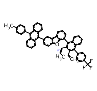 C=Cc1c(/C=C\C)c(-c2cccc3c2oc2ccc(-c4c5ccccc5c(-c5ccc(C)cc5)c5ccccc45)cc23)c2ccccc2c1-c1ccc(C(F)(F)F)cc1